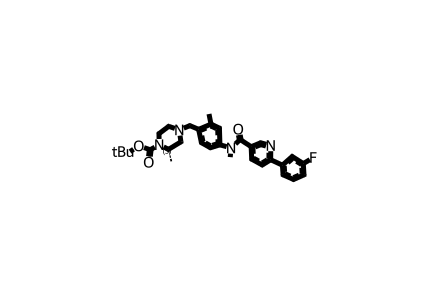 Cc1cc(N(C)C(=O)c2ccc(-c3cccc(F)c3)nc2)ccc1CN1CCN(C(=O)OC(C)(C)C)[C@@H](C)C1